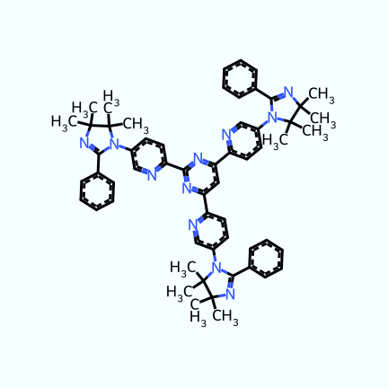 CC1(C)N=C(c2ccccc2)N(c2ccc(-c3cc(-c4ccc(N5C(c6ccccc6)=NC(C)(C)C5(C)C)cn4)nc(-c4ccc(N5C(c6ccccc6)=NC(C)(C)C5(C)C)cn4)n3)nc2)C1(C)C